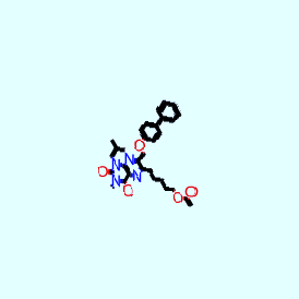 CC(=O)OCCCCCc1nc2c(=O)n(C)c(=O)n(CC(C)C)c2nc1COc1ccc(-c2ccccc2)cc1